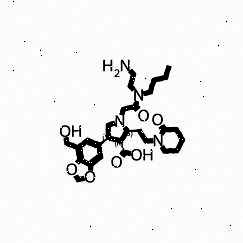 CCCCN(CCN)C(=O)CN1C[C@H](c2cc(CO)c3c(c2)OCO3)[C@@H](C(=O)O)[C@@H]1CCN1CCCCC1=O